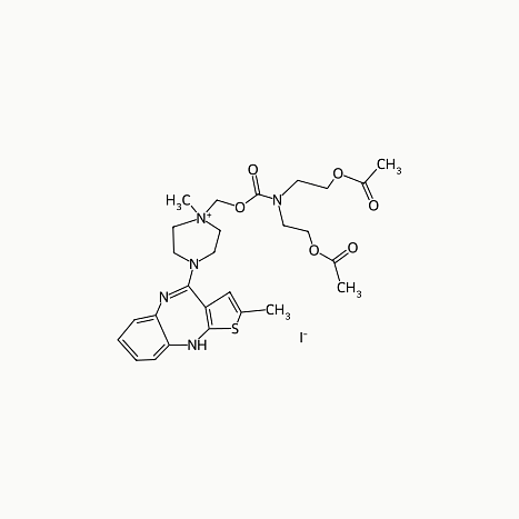 CC(=O)OCCN(CCOC(C)=O)C(=O)OC[N+]1(C)CCN(C2=Nc3ccccc3Nc3sc(C)cc32)CC1.[I-]